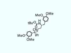 COc1ccc(C[C@@H](CCCC(C#N)(c2ccc(OC)c(OC)c2)C(C)C)NC(=O)OC(C)(C)C)cc1OC